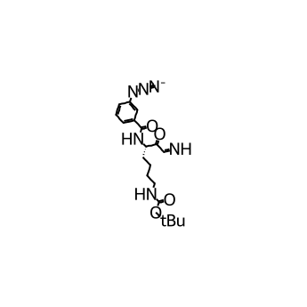 CC(C)(C)OC(=O)NCCCC[C@H](NC(=O)c1cccc(N=[N+]=[N-])c1)C(=O)C=N